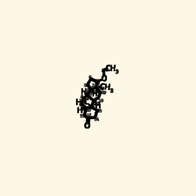 CCO[C@@H]1CC[C@@H]2[C@H]3CC[C@@H]4CC(=O)CC[C@@]4(C)[C@@H]3CC[C@]21C